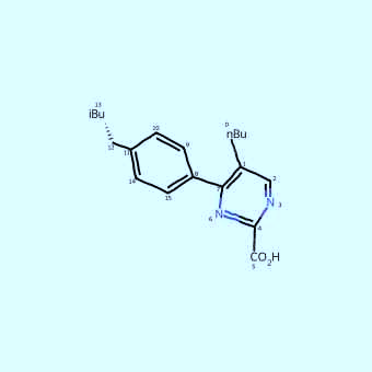 CCCCc1cnc(C(=O)O)nc1-c1ccc(C[C@@H](C)CC)cc1